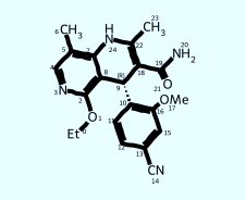 CCOc1ncc(C)c2c1[C@@H](c1ccc(C#N)cc1OC)C(C(N)=O)=C(C)N2